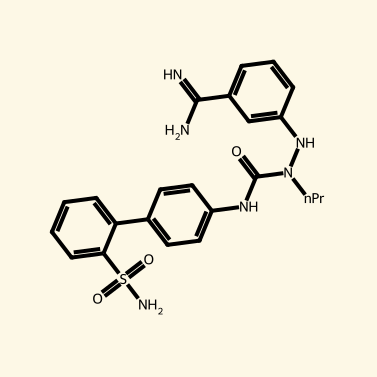 CCCN(Nc1cccc(C(=N)N)c1)C(=O)Nc1ccc(-c2ccccc2S(N)(=O)=O)cc1